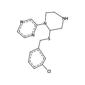 Clc1cccc(CSC2CNCCN2c2cnccn2)c1